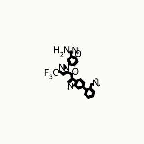 CN(C)Cc1ccccc1-c1ccc2c(C(=O)c3cc(C(F)(F)F)nn3-c3ccc4onc(N)c4c3)cn(C)c2c1